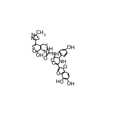 Cc1nnc(C(=S)C2=C(C(=O)O)N3C(=O)[C@@H](NC(=O)C(NC(=O)c4coc5c(O)c(O)ccc5c4=O)c4ccc(O)cc4)[C@@H]3SC2)s1